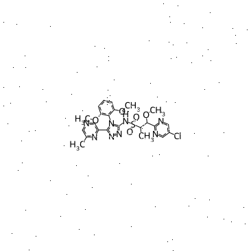 COc1cccc(OC)c1-n1c(NS(=O)(=O)C(C)C(OC)c2ncc(Cl)cn2)nnc1-c1cncc(C)n1